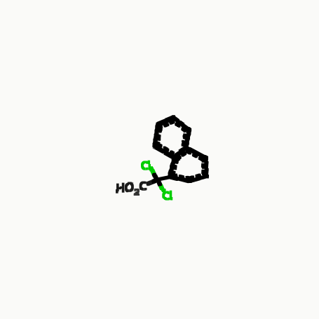 O=C(O)C(Cl)(Cl)c1cccc2ccccc12